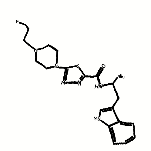 CCCCC(Cc1c[nH]c2ccccc12)NC(=O)c1nnc(N2CCN(CCF)CC2)s1